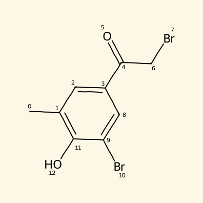 Cc1cc(C(=O)CBr)cc(Br)c1O